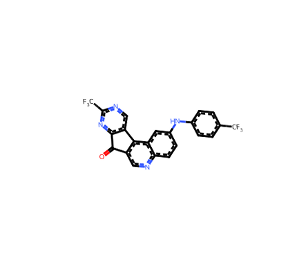 O=C1c2cnc3ccc(Nc4ccc(C(F)(F)F)cc4)cc3c2-c2cnc(C(F)(F)F)nc21